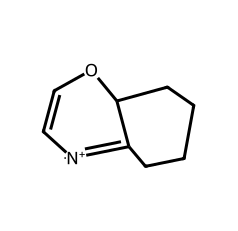 C1=COC2CCCCC2=[N+]1